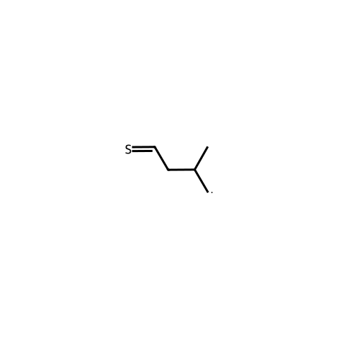 [CH2]C(C)CC=S